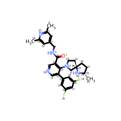 Cc1cc(CNC(=O)c2cncc(-c3cc(F)cc(F)c3)c2N2CC[C@]3(CC[C@H](C)N3)C2)cc(C)n1